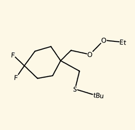 CCOOCC1(CSC(C)(C)C)CCC(F)(F)CC1